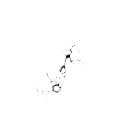 CCc1c(-c2ccc3c(c2)cc(CN2C[C@H]4C[C@H](N)C[C@H]4C2)n3C)[nH]c(=O)c(C(=O)O)c1O